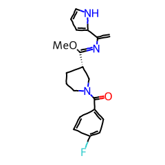 C=C(/N=C(\OC)[C@H]1CCCN(C(=O)c2ccc(F)cc2)C1)c1ccc[nH]1